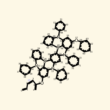 C=C/C=C\C(=C)Oc1cc2c3c(c1)N(c1ccccc1)c1cc4c(cc1B3c1ccccc1N2c1ccccc1)B1c2ccccc2N(c2ccccc2)c2cc(Oc3ccccc3)cc(c21)N4c1ccccc1